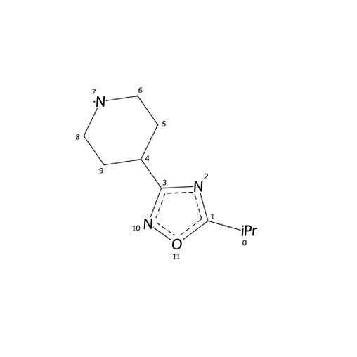 CC(C)c1nc(C2CC[N]CC2)no1